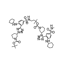 CNS(=O)(=O)c1ccc(NC2CCCCC2)c(-c2nnnn2C2CCCN(C(=O)OC(C)(C)CCNS(=O)(=O)c3ccc(NC4CCCCC4)c(-c4nnn(C5CCCN(C(=O)OC(C)(C)C)C5)n4)c3)C2)c1